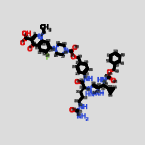 CCn1cc(C(=O)O)c(=O)c2cc(F)c(N3CCN(C(=O)OCc4ccc(NC(=O)[C@H](CCCNC(N)=O)N5C=C([C@@H](NC(=O)OCc6ccccc6)C6CC6)NN5)cc4)CC3)cc21